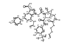 C=CCCCC(=O)N(C)C[C@@]12C[C@@H](C(=O)Nc3ccc(C)c(C(F)(F)F)n3)N(C(=O)Cn3nc(C(C)=O)c4cc(-c5cnc(C)nc5)cc(CC=C)c43)[C@@H]1C2